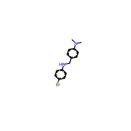 CN(C)c1ccc(CNc2ccc(Br)cc2)cc1